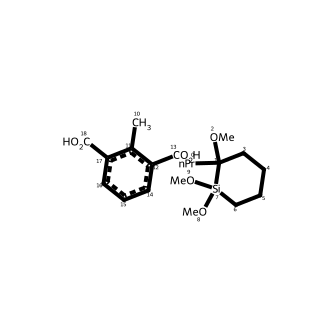 CCCC1(OC)CCCC[Si]1(OC)OC.Cc1c(C(=O)O)cccc1C(=O)O